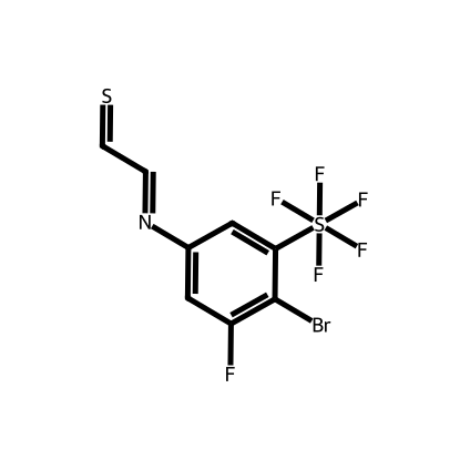 Fc1cc(N=CC=S)cc(S(F)(F)(F)(F)F)c1Br